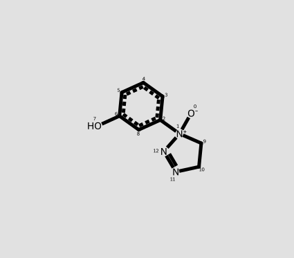 [O-][N+]1(c2cccc(O)c2)CCN=N1